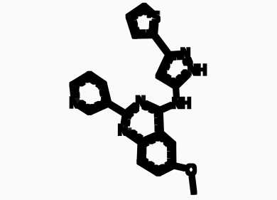 COc1ccc2nc(-c3cccnc3)nc(Nc3cc(-c4cccs4)n[nH]3)c2c1